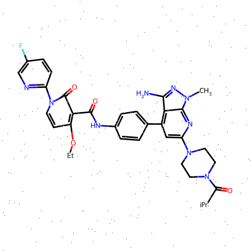 CCOc1ccn(-c2ccc(F)cn2)c(=O)c1C(=O)Nc1ccc(-c2cc(N3CCN(C(=O)C(C)C)CC3)nc3c2c(N)nn3C)cc1